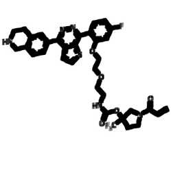 C=CC(=O)N1CCC(OC(=O)NCCOCCOc2cc(F)ccc2-c2nnc(-c3ccc4c(c3)CCNC4)c3ccsc23)(C(F)(F)F)C1